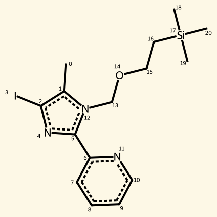 Cc1c(I)nc(-c2ccccn2)n1COCC[Si](C)(C)C